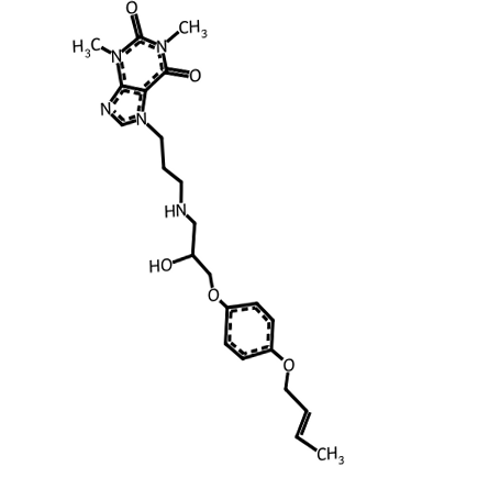 C/C=C/COc1ccc(OCC(O)CNCCCn2cnc3c2c(=O)n(C)c(=O)n3C)cc1